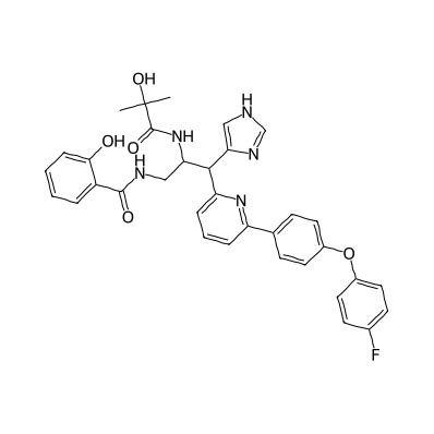 CC(C)(O)C(=O)NC(CNC(=O)c1ccccc1O)C(c1c[nH]cn1)c1cccc(-c2ccc(Oc3ccc(F)cc3)cc2)n1